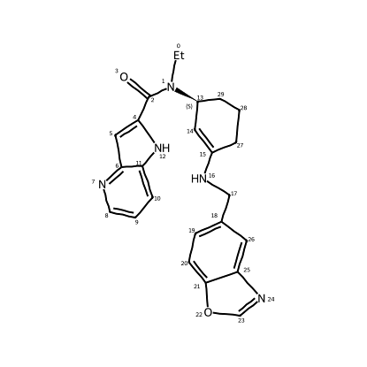 CCN(C(=O)c1cc2ncccc2[nH]1)[C@@H]1C=C(NCc2ccc3ocnc3c2)CCC1